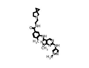 Cc1ccc(C(=O)NCCN2CCC3(CC3)C2)cc1Nc1nn(C)c2nc(Nc3cnn(C)c3)ncc12